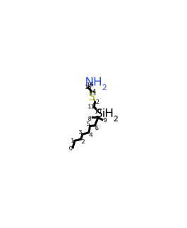 CCCCCCCC(C)(C)[SiH2]CCSCCN